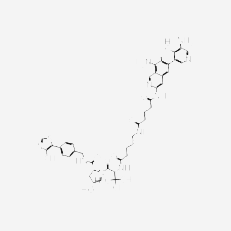 Cc1ncsc1-c1ccc(CNC(=O)[C@@H]2C[C@@H](O)CN2C(=O)[C@@H](NC(=O)CCCCNC(=O)CCCC(=O)Nc2cc3cc(-c4cncc(N)c4C)c(F)c(N)c3cn2)C(C)(C)C)cc1